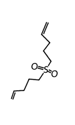 C=CCCCS(=O)(=O)CCCC=C